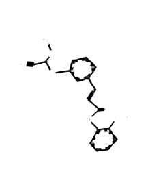 C#CC(OCC)Oc1cccc(/C=C/C(=O)Nc2ccccc2C(=O)O)c1